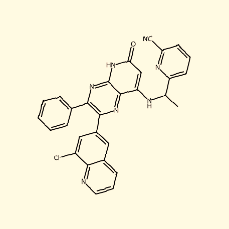 CC(Nc1cc(=O)[nH]c2nc(-c3ccccc3)c(-c3cc(Cl)c4ncccc4c3)nc12)c1cccc(C#N)n1